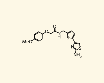 COc1ccc(OCC(=O)NCc2ccc(-c3csc(N)n3)s2)cc1